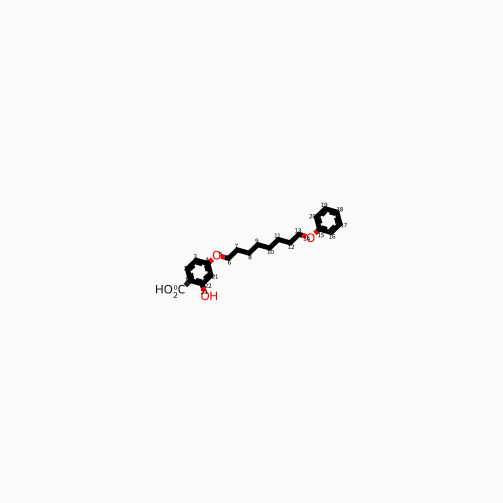 O=C(O)c1ccc(OCCCCCCCCOc2ccccc2)cc1O